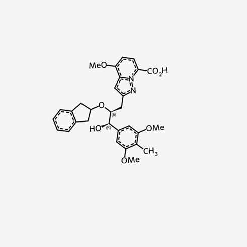 COc1cc([C@@H](O)[C@H](Cc2cc3c(OC)ccc(C(=O)O)n3n2)OC2Cc3ccccc3C2)cc(OC)c1C